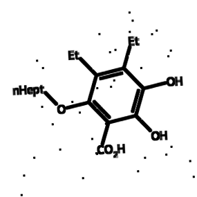 CCCCCCCOc1c(CC)c(CC)c(O)c(O)c1C(=O)O